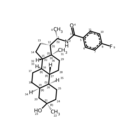 C[C@H](NC(=O)c1ccc(F)cc1)[C@H]1CC[C@H]2[C@@H]3CC[C@@H]4C[C@](C)(O)CC[C@@H]4[C@H]3CC[C@]12C